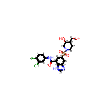 O=C(Nc1ccc(F)c(Cl)c1)c1cc(S(=O)(=O)N2CCC(CO)C(O)C2)cc2nc[nH]c12